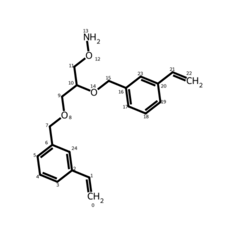 C=Cc1cccc(COCC(CON)OCc2cccc(C=C)c2)c1